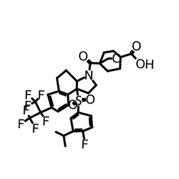 CC(C)c1cc(S(=O)(=O)C23CCN(C(=O)C45CCC(C(=O)O)(CC4)CC5)C2CCc2cc(C(F)(C(F)(F)F)C(F)(F)F)ccc23)ccc1F